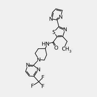 CCc1nc(-c2ncccn2)sc1C(=O)NC1CCN(c2nccc(C(F)(F)F)n2)CC1